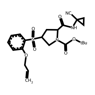 C=CCOc1ccccc1S(=O)(=O)C1CC(C(=O)NC2(C#N)CC2)N(C(=O)OC(C)(C)C)C1